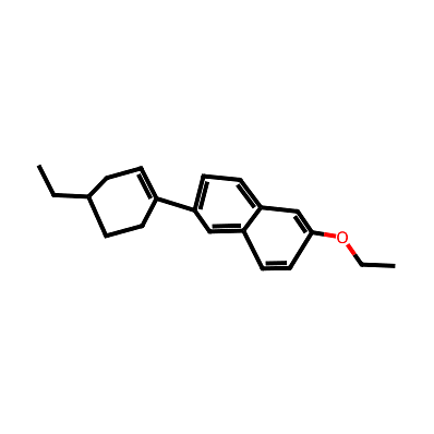 CCOc1ccc2cc(C3=CCC(CC)CC3)ccc2c1